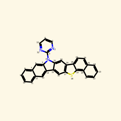 c1cnc(-n2c3cc4ccccc4cc3c3cc4sc5c6ccccc6ccc5c4cc32)nc1